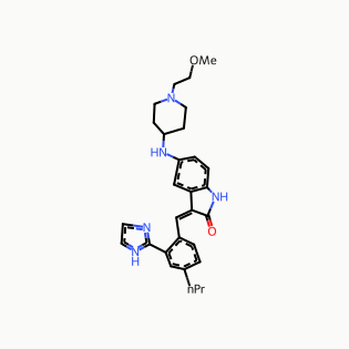 CCCc1ccc(/C=C2\C(=O)Nc3ccc(NC4CCN(CCOC)CC4)cc32)c(-c2ncc[nH]2)c1